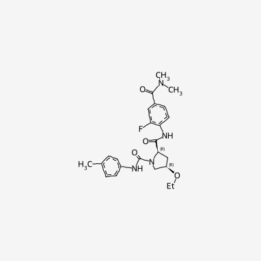 CCO[C@@H]1C[C@H](C(=O)Nc2ccc(C(=O)N(C)C)cc2F)N(C(=O)Nc2ccc(C)cc2)C1